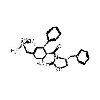 C[C@@H]1CC(C[Si](C)(C)C)=C[C@@H](c2ccccc2)[C@H]1C(=O)N1C(=O)OC[C@H]1Cc1ccccc1